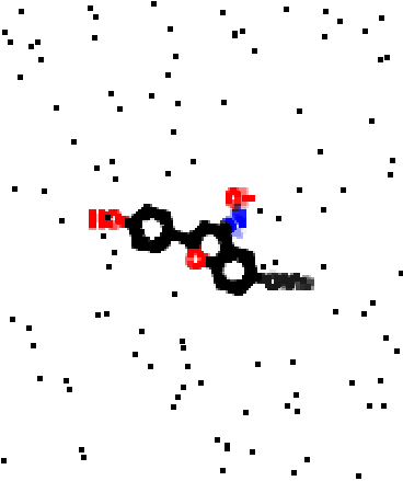 COc1ccc2oc(-c3ccc(O)cc3)c/c(=N\O)c2c1